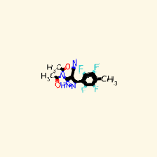 CC(=O)N(C(C)=O)c1[nH]nc(-c2c(F)c(F)c(C)c(F)c2F)c1C#N